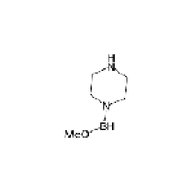 COBN1CCNCC1